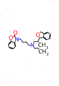 CCCN(CCCCn1c(=O)oc2ccccc21)CC(C)C1OCc2ccccc21